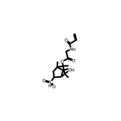 C=CC(=O)NCC(=O)OC1(C)C(C)(O)C2C([SH](=O)=O)CC1(C)C2C